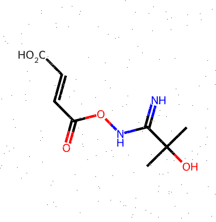 CC(C)(O)C(=N)NOC(=O)C=CC(=O)O